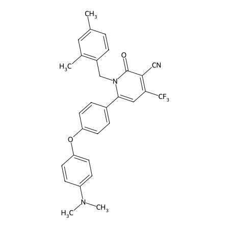 Cc1ccc(Cn2c(-c3ccc(Oc4ccc(N(C)C)cc4)cc3)cc(C(F)(F)F)c(C#N)c2=O)c(C)c1